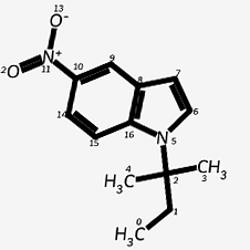 CCC(C)(C)n1ccc2cc([N+](=O)[O-])ccc21